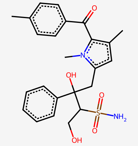 Cc1ccc(C(=O)c2c(C)cc(CC(O)(c3ccccc3)C(CO)S(N)(=O)=O)n2C)cc1